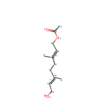 CC(=O)OC/C=C(\C)CC/C(C)=C/CO